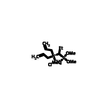 C=CC[N+](C)(CC=C)C(CC)[Si](OC)(OC)OC.[Cl-]